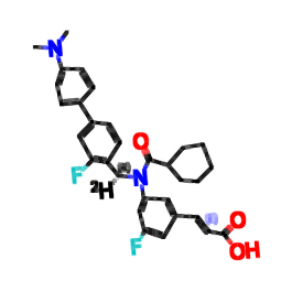 [2H][C@H](c1ccc(-c2ccc(N(C)C)cc2)cc1F)N(C(=O)C1CCCCC1)c1cc(F)cc(/C=C/C(=O)O)c1